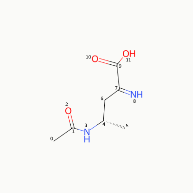 CC(=O)N[C@@H](C)CC(=N)C(=O)O